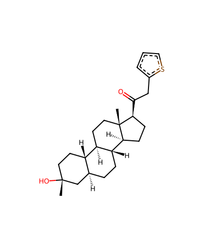 C[C@@]1(O)CC[C@H]2[C@@H](CC[C@@H]3[C@@H]2CC[C@]2(C)[C@@H](C(=O)Cc4cccs4)CC[C@@H]32)C1